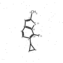 Cc1cc2ccc(C3CC3)c(F)c2s1